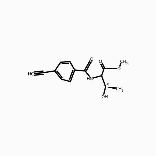 C#Cc1ccc(C(=O)NC(C(=O)OC)[C@@H](C)O)cc1